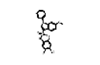 COc1ccc2c(S(=O)(=O)Nc3cc(F)c(Cl)cc3F)cn(-c3ccccc3)c2c1